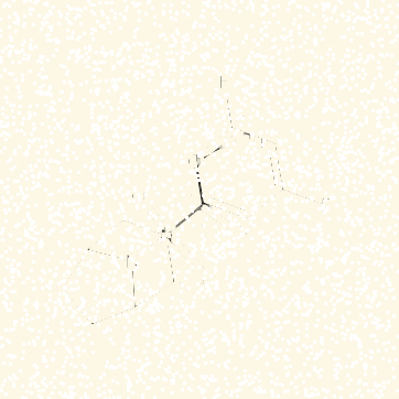 CC(C)(C)OC(=O)N1CC2CCC(C1)N2S(=O)(=O)c1cc(F)cc(F)c1